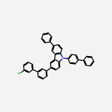 Brc1cccc(-c2cccc(-c3ccc4c(c3)c3cc(-c5ccccc5)ccc3n4-c3ccc(-c4ccccc4)cc3)c2)c1